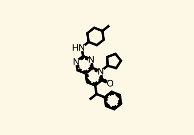 CC1CCC(Nc2ncc3cc(C(C)c4ccccc4)c(=O)n(C4CCCC4)c3n2)CC1